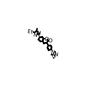 CCc1nn(-c2ccc3cc(-c4ccc(N5C=NN(C)C5)cc4)c(=O)oc3c2)nc1C